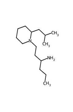 CCCC(N)CCN1CCCCC1CC(C)C